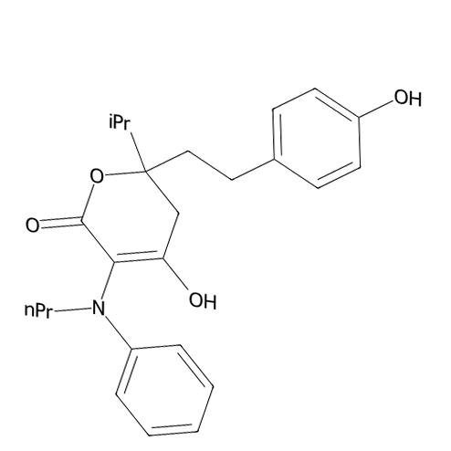 CCCN(C1=C(O)CC(CCc2ccc(O)cc2)(C(C)C)OC1=O)c1ccccc1